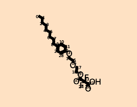 CCCCCCCCCc1ccc(OCCOCCOC(=O)C(F)(F)C(=O)O)cc1